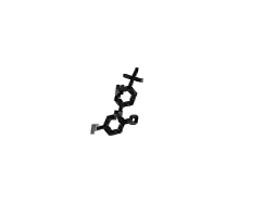 CC(C)(C)c1ccc(-n2cc(F)ccc2=O)cn1